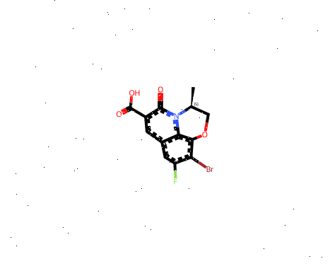 C[C@H]1COc2c(Br)c(F)cc3cc(C(=O)O)c(=O)n1c23